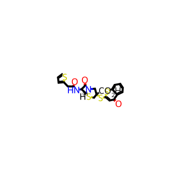 O=C(Cc1cccs1)NC1C(=O)N2CC(Sc3cc(=O)c4ccccc4s3)(C(=O)O)CS[C@H]12